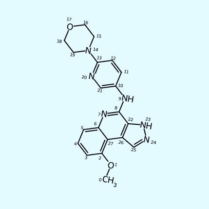 COc1cccc2nc(Nc3ccc(N4CCOCC4)nc3)c3[nH]ncc3c12